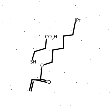 C=CC(=O)OCCCCCC(C)C.O=C(O)CCS